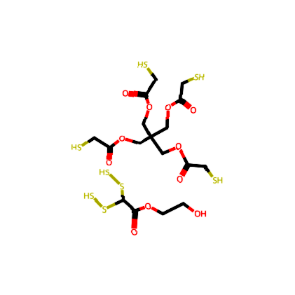 O=C(CS)OCC(COC(=O)CS)(COC(=O)CS)COC(=O)CS.O=C(OCCO)C(SS)SS